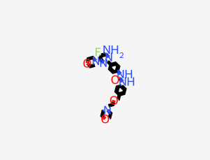 Nc1nc(-c2ccc(NC(=O)Nc3ccc(COCCN4CCOCC4)cc3)cc2)nc(N2CCOCC2)c1F